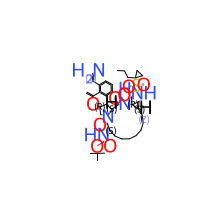 C=C(O[C@@H]1C[C@H]2C(=O)N[C@]3(C(=O)NS(=O)(=O)C4(CCC)CC4)C[C@H]3/C=C\CCCCC[C@H](NC(=O)OC(C)(C)C)C(=O)N2C1)c1ccccc1/C=C\N